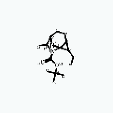 CCC1C2CCC3NC12N(C(=O)OC(C)(C)C)C3C